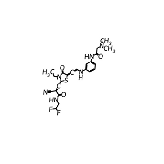 CCn1c(=C=C(C#N)C(=O)NCC(F)F)sc(=C=CNc2cccc(NC(=O)CN(C)C)c2)c1=O